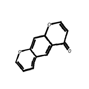 O=C1C=COC2C=C3OC=CC=C3C=C12